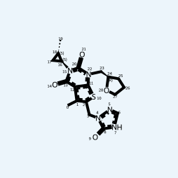 Cc1c(Cn2nc[nH]c2=O)sc2c1c(=O)n([C@H]1C[C@@H]1C)c(=O)n2C[C@H]1CCCO1